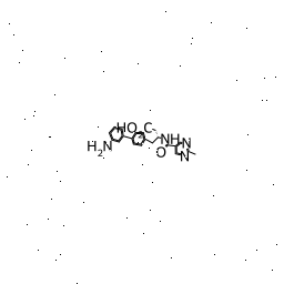 Cc1ncc(C(=O)N[C@@H](CC(=O)O)Cc2ccc(-c3cccc(N)c3)cc2)cn1